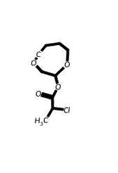 CC(Cl)C(=O)OC1COCCCCO1